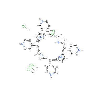 CCl.CCl.CCl.CCl.ClC12C=CC(=N1)C(c1ccncc1)=c1ccc([nH]1)=C(c1ccncc1)C1=NC(=C(c3ccncc3)c3ccc([nH]3)C2(Cl)c2ccncc2)C=C1